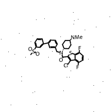 CN[C@H]1CC[C@H](N(Cc2cccc(-c3cccc(S(C)(=O)=O)c3)c2)C(=O)c2sc3c(F)ccc(F)c3c2Cl)CC1